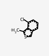 [CH2]c1scc2cccc(Cl)c12